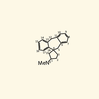 CNC1CCC2(Cc3ccccc3Cc3ccccc32)C1